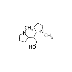 CN1CCCC1C(CO)C1CCCN1C